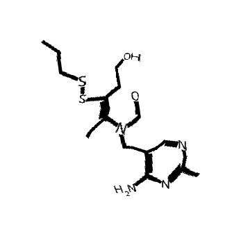 CCCSS/C(CCO)=C(\C)N(C=O)Cc1cnc(C)nc1N